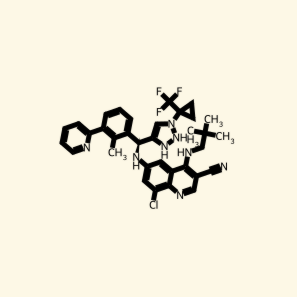 Cc1c(-c2ccccn2)cccc1[C@H](Nc1cc(Cl)c2ncc(C#N)c(NCC(C)(C)C)c2c1)C1=CN(C2(C(F)(F)F)CC2)NN1